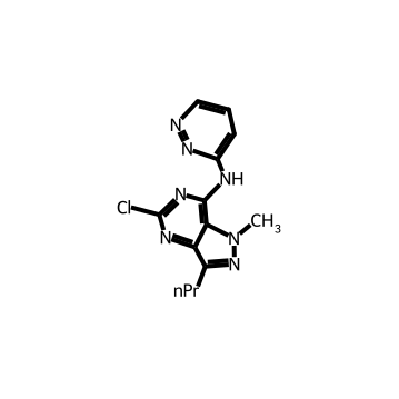 CCCc1nn(C)c2c(Nc3cccnn3)nc(Cl)nc12